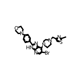 Cc1nc(CN2CCN(c3c(Br)cnc4[nH]c(-c5ccc(N6CCOCC6)cc5)nc34)CC2)cs1